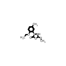 CCOc1ccc(C)cc1N1NC(OC)OC1=O